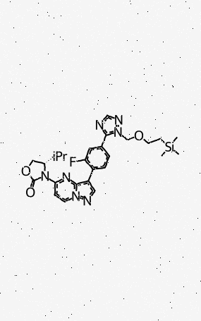 CC(C)[C@H]1COC(=O)N1c1ccn2ncc(-c3ccc(-c4ncnn4COCC[Si](C)(C)C)cc3F)c2n1